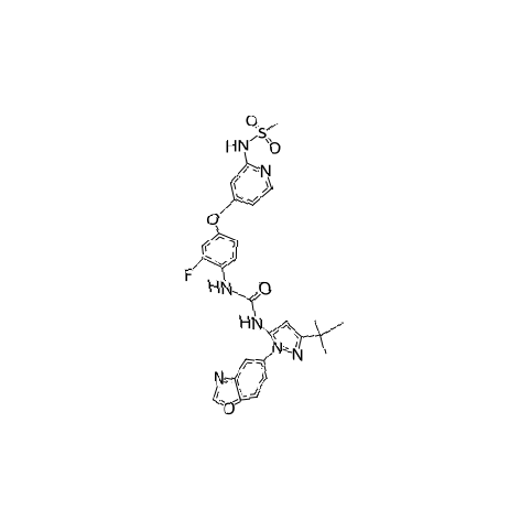 CC(C)(C)c1cc(NC(=O)Nc2ccc(Oc3ccnc(NS(C)(=O)=O)c3)cc2F)n(-c2ccc3ocnc3c2)n1